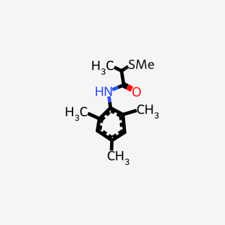 CSC(C)C(=O)Nc1c(C)cc(C)cc1C